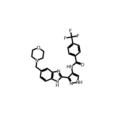 O=C(Nc1c[nH]nc1-c1nc2cc(CN3CCOCC3)ccc2[nH]1)c1ccc(C(F)(F)F)cc1